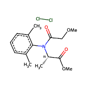 COCC(=O)N(c1c(C)cccc1C)[C@@H](C)C(=O)OC.ClCl